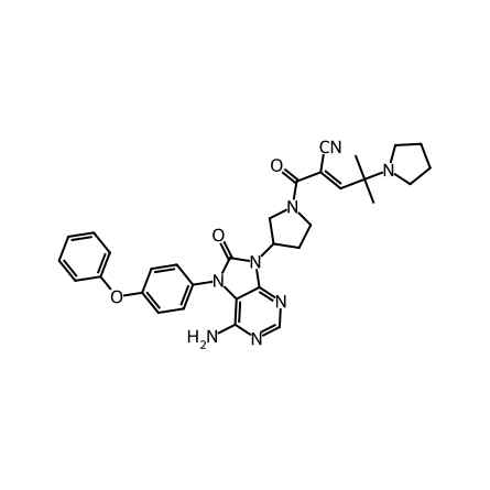 CC(C)(C=C(C#N)C(=O)N1CCC(n2c(=O)n(-c3ccc(Oc4ccccc4)cc3)c3c(N)ncnc32)C1)N1CCCC1